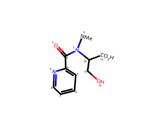 CNN(C(=O)c1ccccn1)C(CO)C(=O)O